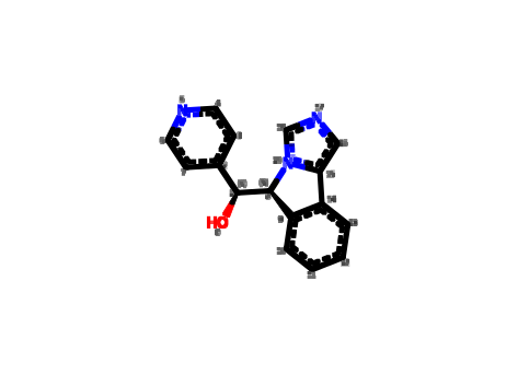 O[C@@H](c1ccncc1)[C@@H]1c2ccccc2-c2cncn21